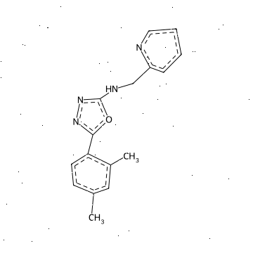 Cc1ccc(-c2nnc(NCc3ccccn3)o2)c(C)c1